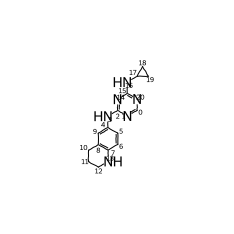 c1nc(Nc2ccc3c(c2)CCCN3)nc(NC2CC2)n1